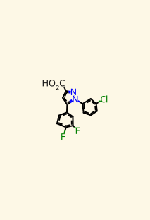 O=C(O)c1cc(-c2ccc(F)c(F)c2)n(-c2cccc(Cl)c2)n1